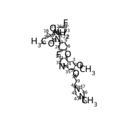 COc1cc2c(Oc3ccc(N(C(=O)[C@]4(C(N)=O)C[C@@H]4C)c4ccc(F)cc4)cc3F)ccnc2cc1OCCCN1CCN(C)CC1